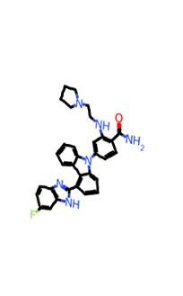 NC(=O)c1ccc(-n2c3ccccc3c3c(-c4nc5ccc(F)cc5[nH]4)cccc32)cc1NCCN1CCCC1